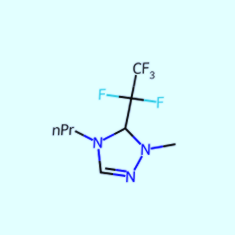 CCCN1C=NN(C)C1C(F)(F)C(F)(F)F